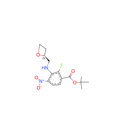 CC(C)(C)OC(=O)c1ccc([N+](=O)[O-])c(NC[C@@H]2CCO2)c1F